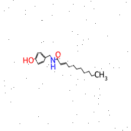 CCCCCCCC/C=C/C(=O)NCc1ccc(O)cc1